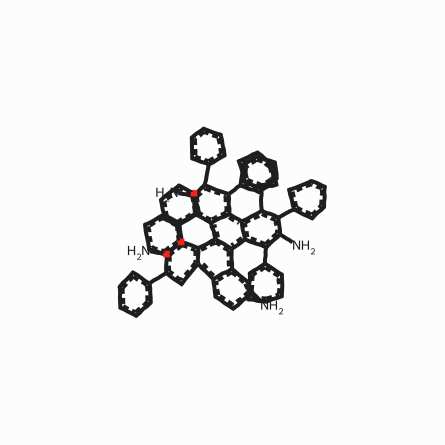 Nc1ccc2c3cc(-c4ccccc4)c(N)c(-c4ccccc4)c3c3c4c(-c5ccccc5)c(N)c(-c5ccccc5)c(-c5ccccc5)c4c4c(-c5ccccc5)c(-c5ccccc5)c(N)c(-c5ccccc5)c4c3c2c1